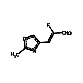 Cc1nc(/C=C(\F)C=O)co1